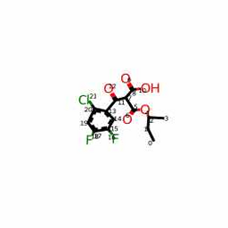 CCC(C)OC(=O)C(C(=O)O)C(=O)c1cc(F)c(F)cc1Cl